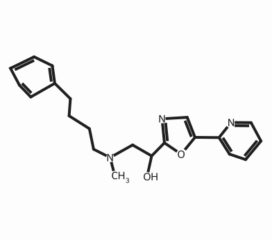 CN(CCCCc1ccccc1)CC(O)c1ncc(-c2ccccn2)o1